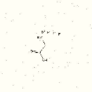 CCC(=O)O.[B+3].[F-].[F-].[F-]